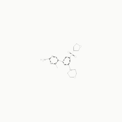 Cc1nc(N)ncc1-c1cc(N2CCOCC2)cc(S(=O)(=O)[C@@H]2CCOC2)c1